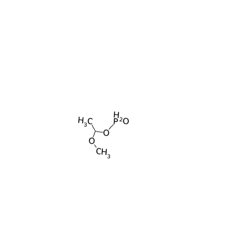 COC(C)O[PH2]=O